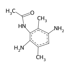 CC(=O)Nc1c(C)c(N)cc(C)c1N